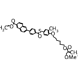 C=COC(=O)c1ccc2cc(-c3ccc(C(=O)Sc4ccc(OCCCCCCOC(=O)C(=C)COC)c(C)c4)cc3)ccc2c1